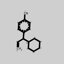 C=CC(c1ccc(C#N)cc1)C1CCCCC1